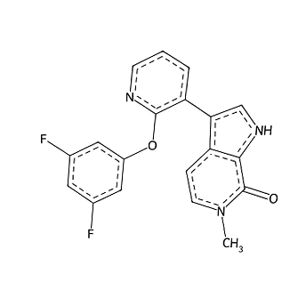 Cn1ccc2c(-c3cccnc3Oc3cc(F)cc(F)c3)c[nH]c2c1=O